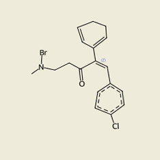 CN(Br)CCC(=O)/C(=C\c1ccc(Cl)cc1)C1=CCCC=C1